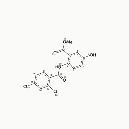 COC(=O)c1cc(O)ccc1NC(=O)c1ccc(Cl)cc1Cl